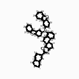 c1ccc2cc(-c3nc4ccc5c6cccc(N(c7ccc8oc9ccccc9c8c7)c7ccc8sc9ccccc9c8c7)c6ccc5c4o3)ccc2c1